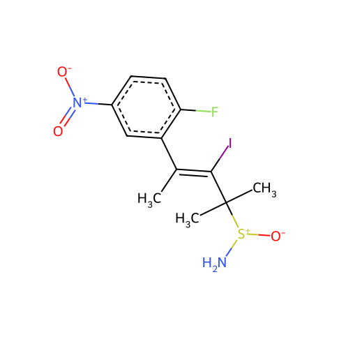 CC(=C(I)C(C)(C)[S+](N)[O-])c1cc([N+](=O)[O-])ccc1F